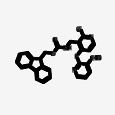 O=Cc1cccnc1Sc1ccnc(Cl)c1CNC(=O)OCC1c2ccccc2-c2ccccc21